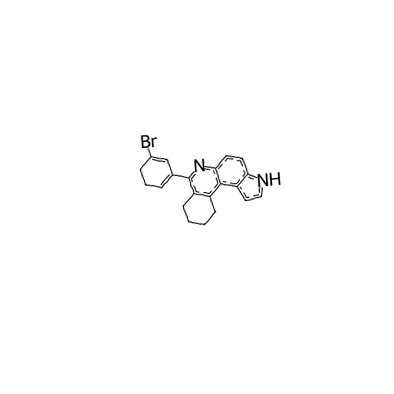 BrC1=CC(c2nc3ccc4[nH]ccc4c3c3c2CCCC3)=CCC1